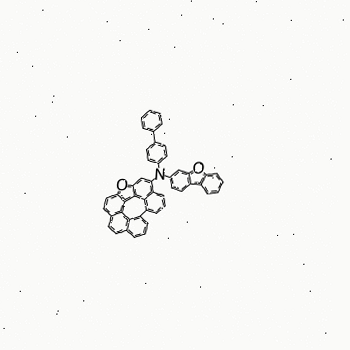 c1ccc(-c2ccc(N(c3ccc4c(c3)oc3ccccc34)c3cc4oc5ccc6ccc7cccc8c7c6c5c4c4c-8cccc34)cc2)cc1